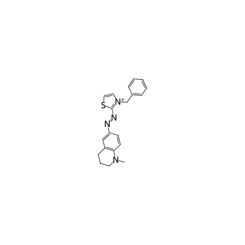 CN1CCCc2cc(/N=N/c3scc[n+]3Cc3ccccc3)ccc21